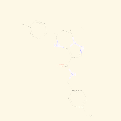 CCc1ccc([C@@H]2C[C@H](C(C)(C)C)n3ncc(C(=O)NCc4ccc(OC)cc4)c3N2)cc1